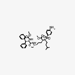 CC[C@@H](CCC[C@@H](C(=O)OC)N(CCC(C)C)S(=O)(=O)c1ccc(N)cc1)NC(=O)C(NC(=O)OC)C(c1ccccc1)c1ccccc1